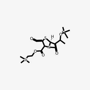 CC(O[Si](C)(C)C)C1C(=O)N2C(C(=O)OCC[Si](C)(C)C)C(=C=O)S[C@@H]12